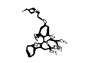 CC(C)C(=O)N1C(c2c(F)cc(OCCN3CC(CF)C3)cc2F)c2[nH]c3ccccc3c2CC1(C)C